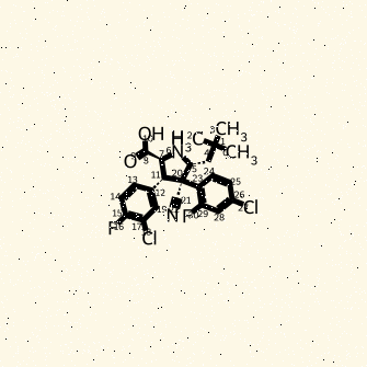 CC(C)(C)C[C@H]1N[C@H](C(=O)O)[C@@H](c2ccc(F)c(Cl)c2)[C@]1(C#N)c1ccc(Cl)cc1F